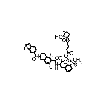 CS(=O)(=O)c1cccc(CC(NC(=O)c2c(Cl)cc3c(c2Cl)CCN(C(=O)c2ccc4ccoc4c2)C3)C(=O)OCOC(=O)CCCCC2CCSS2(O)O)c1